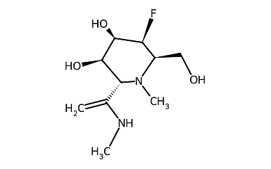 C=C(NC)[C@@H]1[C@@H](O)[C@@H](O)[C@@H](F)[C@@H](CO)N1C